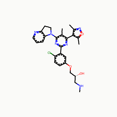 CNC[C@@H](O)COc1ccc(Cl)c(-c2nc(-c3c(C)noc3C)c(C)c(N3CCc4ncccc43)n2)c1